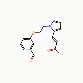 O=Cc1cccc(OCCn2cccc2C=CC(=O)O)c1